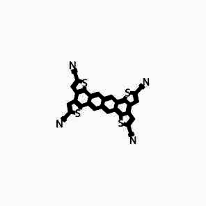 N#Cc1cc2c3cc(C#N)sc3c3cc4cc5c(cc4cc3c2s1)c1sc(C#N)cc1c1cc(C#N)sc15